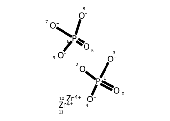 O=P([O-])([O-])[O-].O=P([O-])([O-])[O-].[Zr+4].[Zr+4]